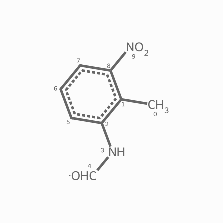 Cc1c(N[C]=O)cccc1[N+](=O)[O-]